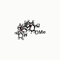 COc1cc(/C=C/C(=O)N2[C@@H]3CC[C@H]2C[C@H](Nc2ccc(F)cc2)C3)c(NC(C)=O)cc1Cl